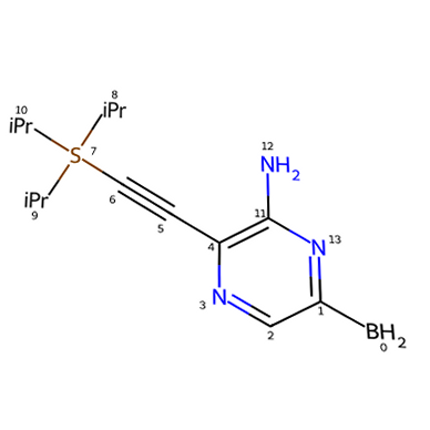 Bc1cnc(C#CS(C(C)C)(C(C)C)C(C)C)c(N)n1